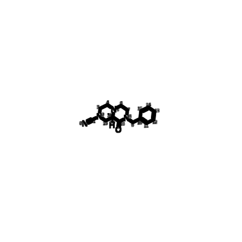 N#CN1CCN2CCN(Cc3ccccc3)C(=O)[C@H]2C1